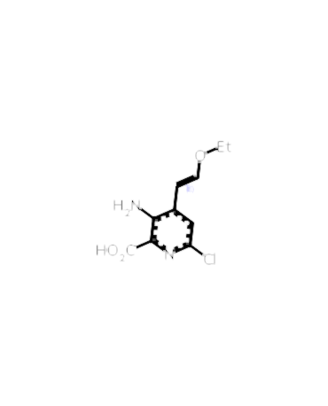 CCO/C=C/c1cc(Cl)nc(C(=O)O)c1N